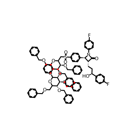 O=C1[C@H](CC[C@H](O)c2ccc(F)cc2)[C@@H](c2ccc(S(=O)(=O)CC3OC(COCc4ccccc4)[C@@H](OC4OC(COCc5ccccc5)[C@@H](OCc5ccccc5)[C@H](OCc5ccccc5)[C@@H]4OCc4ccccc4)[C@H](OCc4ccccc4)[C@@H]3OCc3ccccc3)cc2)N1c1ccc(F)cc1